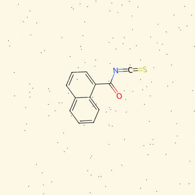 O=C(N=C=S)c1cccc2ccccc12